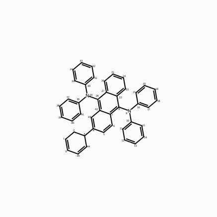 C1=CCC(c2ccc3c(N(c4ccccc4)c4ccccc4)c4ccccc4c(N(c4ccccc4)c4ccccc4)c3c2)C=C1